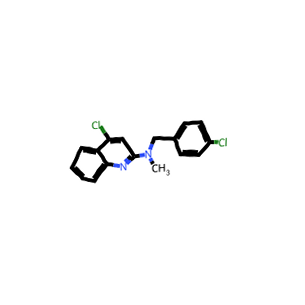 CN(Cc1ccc(Cl)cc1)c1cc(Cl)c2ccccc2n1